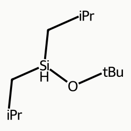 CC(C)C[SiH](CC(C)C)OC(C)(C)C